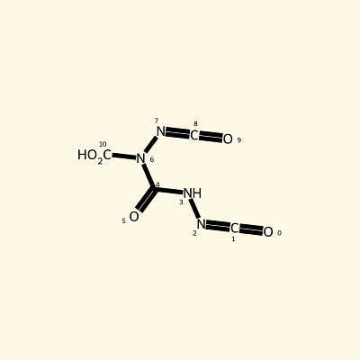 O=C=NNC(=O)N(N=C=O)C(=O)O